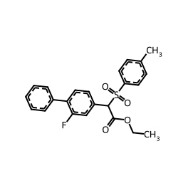 CCOC(=O)C(c1ccc(-c2ccccc2)c(F)c1)S(=O)(=O)c1ccc(C)cc1